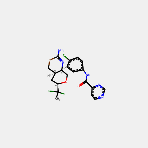 CC(F)(F)[C@H]1C[C@H]2CSC(N)=N[C@@]2(c2cc(NC(=O)c3ccncn3)ccc2F)CO1